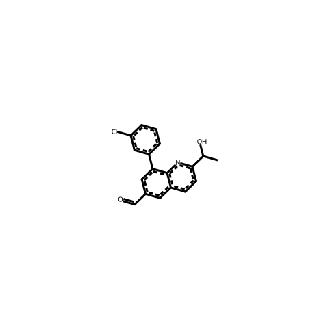 CC(O)c1ccc2cc(C=O)cc(-c3cccc(Cl)c3)c2n1